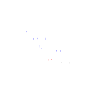 O=C(Nc1cnc(NCc2ccccn2)nc1)c1cccc2c1Cc1ccccc1-2